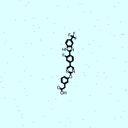 O=C(O)Cc1cccc(Oc2ncc(-c3ccc(-c4nc5cc(C(F)(F)F)ccc5[nH]4)c(F)c3)cn2)c1